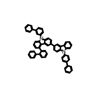 c1ccc(-c2ccc(-n3c4ccccc4c4cc(-c5ccc6c(c5)c5c(-c7ccccc7-c7ccccc7)cccc5n6-c5cccc(-c6ccccc6)c5)ccc43)cc2)cc1